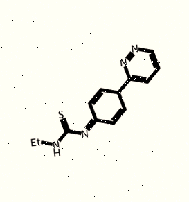 CCNC(=S)N=C1C=CC(c2cccnn2)C=C1